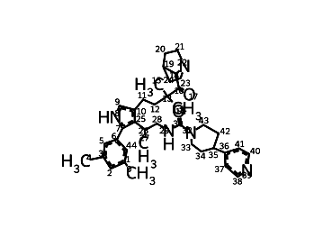 Cc1cc(C)cc(-c2[nH]cc(CCC(C)(C)C(=O)C3C4CCN3CC4)c2[C@H](C)CNC(=O)N2CCC(c3ccncc3)CC2)c1